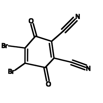 N#CC1=C(C#N)C(=O)C(Br)=C(Br)C1=O